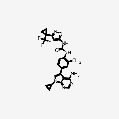 Cc1cc(-c2cn(C3CC3)c3ncnc(N)c23)ccc1NC(=O)Nc1cc(C2(C(F)(F)F)CC2)no1